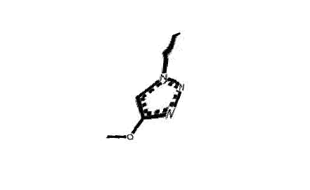 CCn1cc(OC)nn1